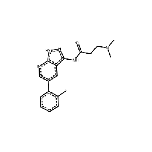 CN(C)CCC(=O)Nc1n[nH]c2ncc(-c3ccccc3F)cc12